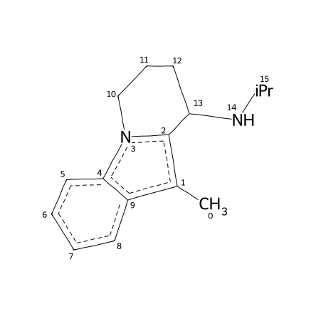 Cc1c2n(c3ccccc13)CCCC2NC(C)C